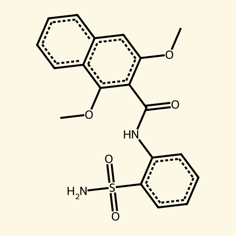 COc1cc2ccccc2c(OC)c1C(=O)Nc1ccccc1S(N)(=O)=O